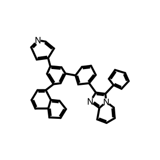 c1ccc(-c2c(-c3cccc(-c4cc(-c5ccncc5)cc(-c5cccc6ccccc56)c4)c3)nc3ccccn23)cc1